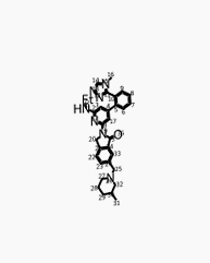 CCNc1cc(-c2ccccc2-c2nncn2C)cc(N2Cc3ccc(CN4CCCC(C)C4)cc3C2=O)n1